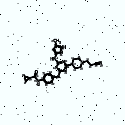 Cc1cc(Nc2nc(Sc3ccc(NC(=O)C4CC4)cc3)nc(N3CCN(CCC#N)CC3)n2)n[nH]1